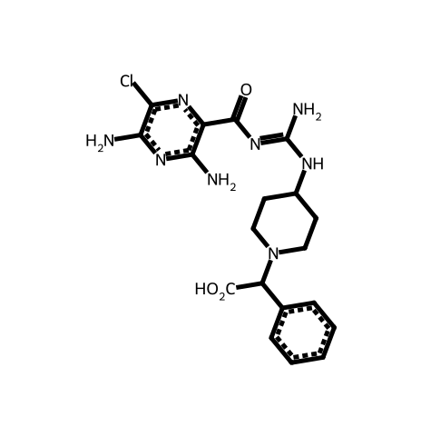 N/C(=N\C(=O)c1nc(Cl)c(N)nc1N)NC1CCN(C(C(=O)O)c2ccccc2)CC1